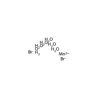 O.O.O.O.O.O.[Br-].[Br-].[Mn+2]